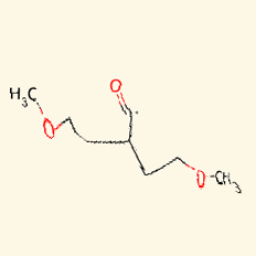 COCCC([C]=O)CCOC